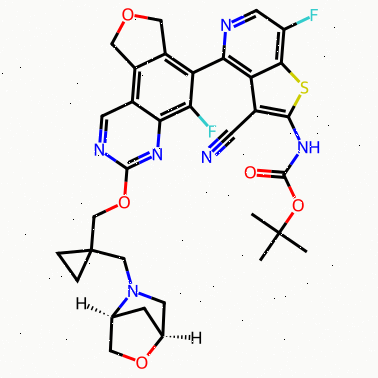 CC(C)(C)OC(=O)Nc1sc2c(F)cnc(-c3c4c(c5cnc(OCC6(CN7C[C@@H]8C[C@H]7CO8)CC6)nc5c3F)COC4)c2c1C#N